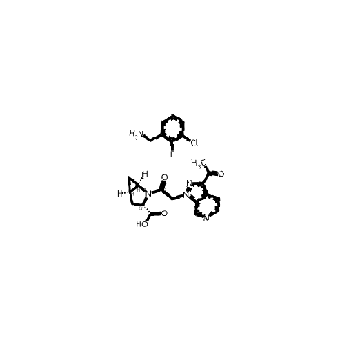 CC(=O)c1nn(CC(=O)N2[C@@H]3C[C@@H]3C[C@H]2C(=O)O)c2cnccc12.NCc1cccc(Cl)c1F